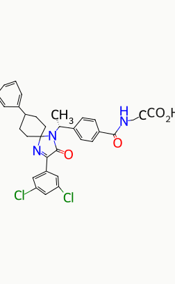 C[C@H](c1ccc(C(=O)NCCC(=O)O)cc1)N1C(=O)C(c2cc(Cl)cc(Cl)c2)=NC12CCC(c1ccccc1)CC2